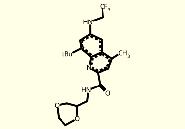 Cc1cc(C(=O)NCC2COCCO2)nc2c(C(C)(C)C)cc(NCC(F)(F)F)cc12